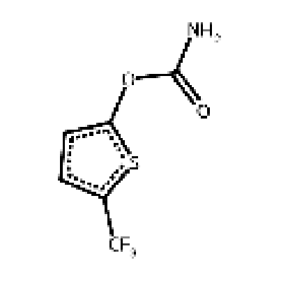 NC(=O)Oc1ccc(C(F)(F)F)s1